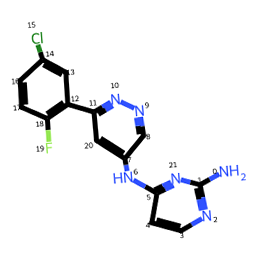 Nc1nccc(Nc2cnnc(-c3cc(Cl)ccc3F)c2)n1